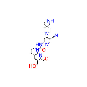 N#Cc1cnc(NC(=O)N2CCCc3cc(CO)c(C=O)nc32)cc1N1CCC2(CCNC2)CC1